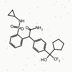 NC(=O)C(c1ccc(C(O)(C2CCCC2)C(F)(F)F)cc1)c1ccccc1S(=O)(=O)NC1CC1